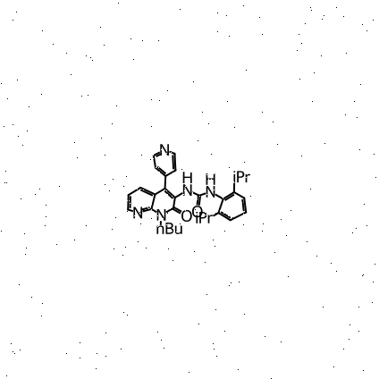 CCCCn1c(=O)c(NC(=O)Nc2c(C(C)C)cccc2C(C)C)c(-c2ccncc2)c2cccnc21